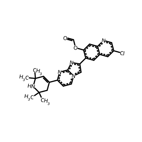 CC1(C)C=C(c2ccn3cc(-c4cc5cc(Cl)cnc5cc4OC=O)nc3n2)CC(C)(C)N1